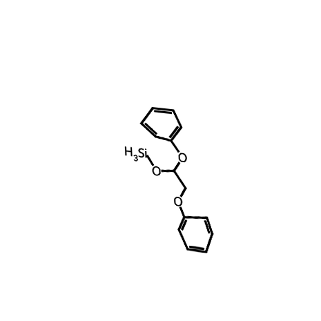 [SiH3]OC(COc1ccccc1)Oc1ccccc1